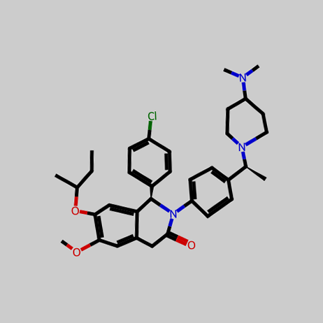 CCC(C)Oc1cc2c(cc1OC)CC(=O)N(c1ccc([C@H](C)N3CCC(N(C)C)CC3)cc1)[C@@H]2c1ccc(Cl)cc1